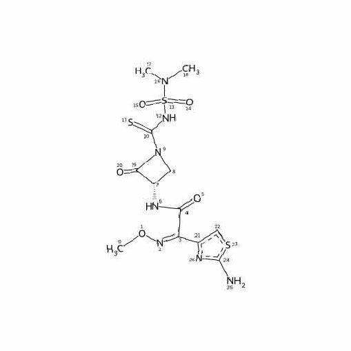 CON=C(C(=O)N[C@H]1CN(C(=S)NS(=O)(=O)N(C)C)C1=O)c1csc(N)n1